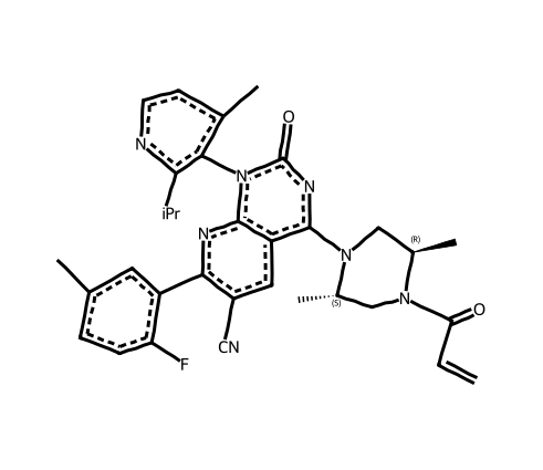 C=CC(=O)N1C[C@H](C)N(c2nc(=O)n(-c3c(C)ccnc3C(C)C)c3nc(-c4cc(C)ccc4F)c(C#N)cc23)C[C@H]1C